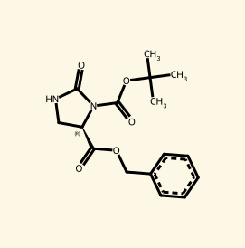 CC(C)(C)OC(=O)N1C(=O)NC[C@@H]1C(=O)OCc1ccccc1